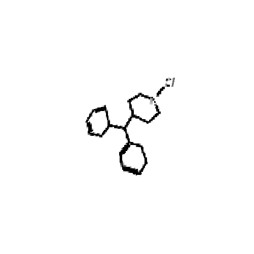 ClN1CCC(C(C2=CC=CCC2)C2C=CC=CC2)CC1